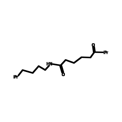 CC(C)CCCCNC(=O)CCCCC(=O)C(C)C